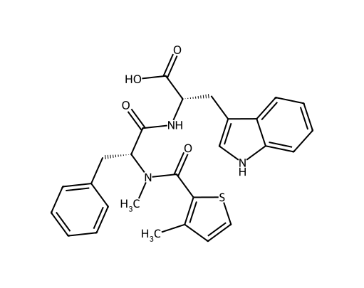 Cc1ccsc1C(=O)N(C)[C@H](Cc1ccccc1)C(=O)N[C@@H](Cc1c[nH]c2ccccc12)C(=O)O